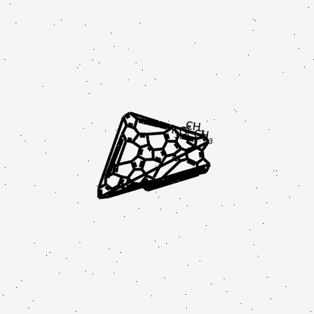 C[Si](C)(C)CC12c3c4c5c6c7c8c(c9c%10c1c1c3c3c%11c4c4c5c5c7c7c%12c8c8c9c9c%10c%10c1c1c3c3c%11c%11c4c4c5c7c5c7c%12c8c8c9c9c%10c1c1c3c3c%11c4c5c4c7c8c9c1c34)C62